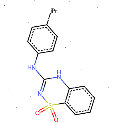 CC(C)c1ccc(NC2=NS(=O)(=O)c3ccccc3N2)cc1